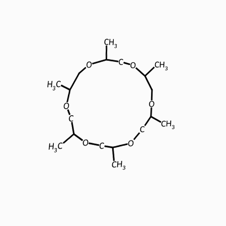 CC1COC(C)COC(C)COC(C)COC(C)COC(C)CO1